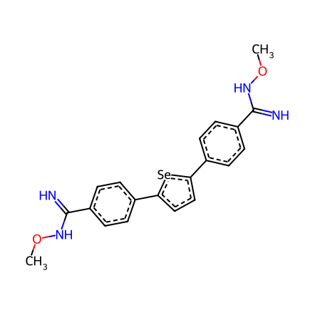 CONC(=N)c1ccc(-c2ccc(-c3ccc(C(=N)NOC)cc3)[se]2)cc1